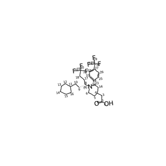 O=C(O)CC1CCN([C@H](CCC2CCCCC2)CCC(F)(F)F)[C@H](c2ccc(C(F)(F)F)cc2)C1